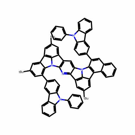 CC(C)(C)c1cc(-c2ccc3c(c2)c2ccccc2n3-c2ccccc2)c2c(c1)c1cc(C(C)(C)C)cc3c4cc5c(nc4n2c31)c1cc(C(C)(C)C)cc2c3c4ccccc4cc(-c4ccc6c(c4)c4ccccc4n6-c4ccccc4)c3n5c12